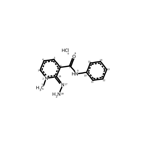 Cl.Cn1cccc(C(=O)Nc2ccccc2)c1=NN